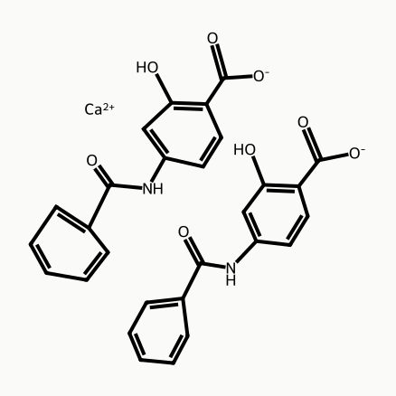 O=C(Nc1ccc(C(=O)[O-])c(O)c1)c1ccccc1.O=C(Nc1ccc(C(=O)[O-])c(O)c1)c1ccccc1.[Ca+2]